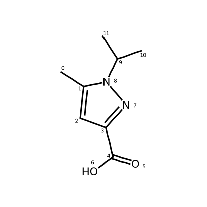 Cc1cc(C(=O)O)nn1C(C)C